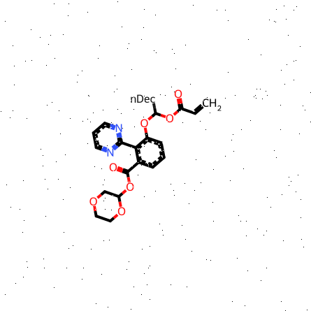 C=CC(=O)OC(CCCCCCCCCC)Oc1cccc(C(=O)OC2COCCO2)c1-c1ncccn1